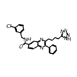 O=C(NCc1cccc(Cl)c1)c1ccc2nc(-c3ccccc3)c(CCCCc3nnn[nH]3)nc2c1